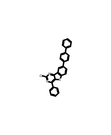 Clc1nc(-c2ccccc2)c2sc3ccc(-c4ccc(-c5ccccc5)cc4)cc3c2n1